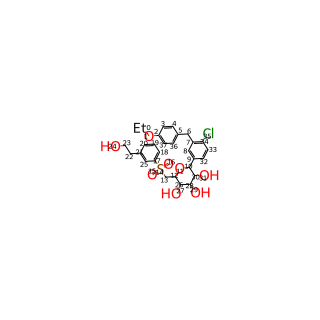 CCOc1ccc(Cc2cc(C3OC(CS(=O)(=O)c4cccc(CCO)c4)C(O)C(O)C3O)ccc2Cl)cc1